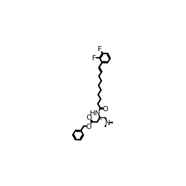 CN(C)C[C@@H](CC(=O)OCc1ccccc1)NC(=O)CCCCCCCC=Cc1cccc(F)c1F